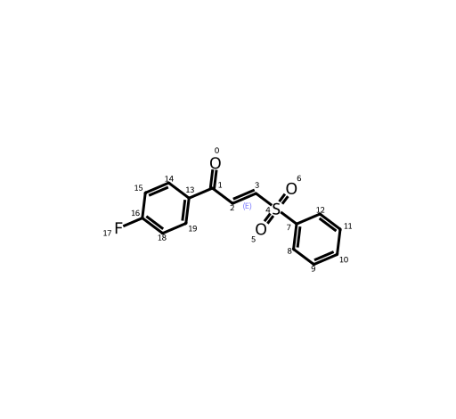 O=C(/C=C/S(=O)(=O)c1ccccc1)c1ccc(F)cc1